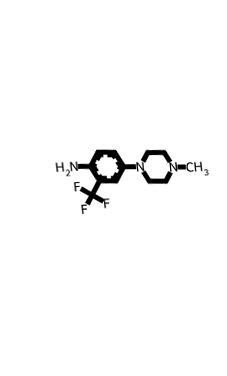 CN1CCN(c2ccc(N)c(C(F)(F)F)c2)CC1